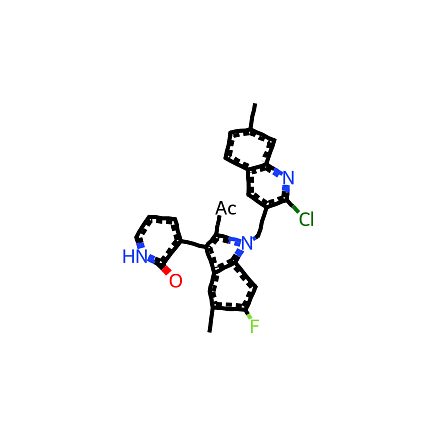 CC(=O)c1c(-c2ccc[nH]c2=O)c2cc(C)c(F)cc2n1Cc1cc2ccc(C)cc2nc1Cl